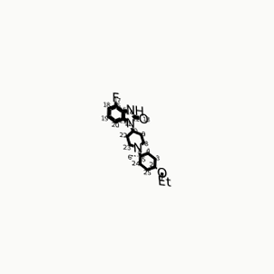 CCO[C@H]1CC[C@](C)(N2CCC(n3c(=O)[nH]c4c(F)cccc43)CC2)CC1